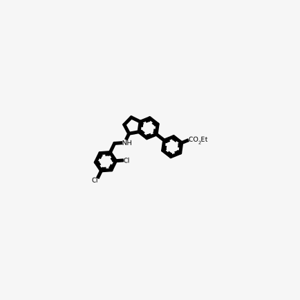 CCOC(=O)c1cccc(-c2ccc3c(c2)C(NCc2ccc(Cl)cc2Cl)CC3)c1